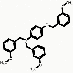 COc1cccc(COc2ccc(N(Cc3cccc(OC)c3)Cc3cccc(OC)c3)cc2)c1